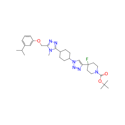 CC(C)c1cccc(OCc2nnc(C3CCC(n4cc(C5(F)CCN(C(=O)OC(C)(C)C)CC5)nn4)CC3)n2C)c1